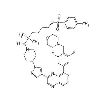 Cc1ccc(S(=O)(=O)OCCCCC(C)(C)C(=O)N2CCC(n3cc(-c4cnc5cccc(-c6cc(F)c(CN7CCOCC7)c(F)c6)c5n4)cn3)CC2)cc1